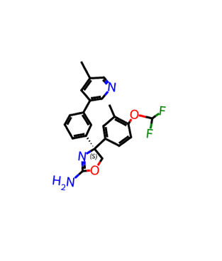 Cc1cncc(-c2cccc([C@]3(c4ccc(OC(F)F)c(C)c4)COC(N)=N3)c2)c1